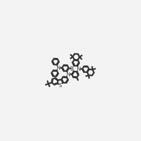 Cc1cc2c3c(c1)N(c1ccc4c(c1)C(C)(C)CCC4(C)C)c1cc4c(cc1B3c1ccc(N(c3ccccc3)c3ccccc3)cc1N2c1ccc2sc3cc(C(C)(C)C)ccc3c2c1)C(C)(C)CCC4(C)C